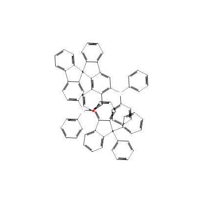 c1ccc(N(c2ccc3c(c2)C2(c4ccccc4-3)c3ccccc3-c3cc(N(c4ccccc4)c4ccccc4)c4ccccc4c32)c2cccc3c2-c2ccccc2C3(c2ccccc2)c2ccccc2)cc1